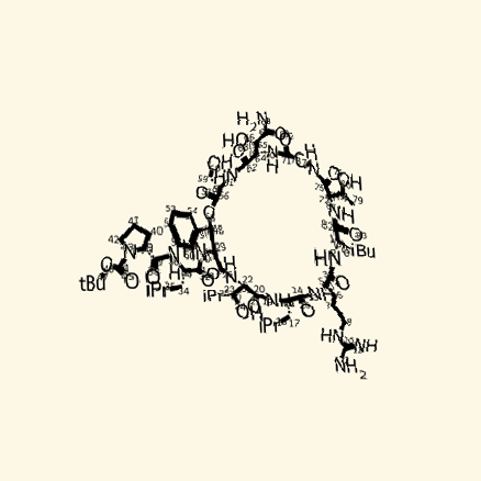 CC[C@H](C)[C@@H]1NC(=O)[C@@H](CCCNC(=N)N)NC(=O)[C@H](CC(C)C)NC(=O)[C@H]([C@H](O)C(C)C)NC(=O)[C@@H](NC(=O)[C@H](CC(C)C)NC(=O)[C@H]2CCCN2C(=O)OC(C)(C)C)[C@@H](c2ccccc2)OC(=O)[C@H](CO)NC(=O)[C@H]([C@H](O)C(N)=O)NC(=O)CNC(=O)[C@H]([C@H](C)O)NC1=O